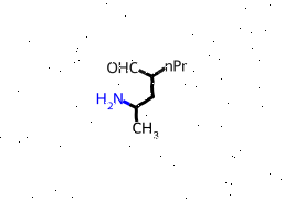 CCCC(C=O)CC(C)N